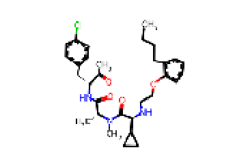 CCCCc1ccccc1OCCN[C@H](C(=O)N(C)[C@H](C)C(=O)N[C@H](Cc1ccc(Cl)cc1)C(C)=O)C1CC1